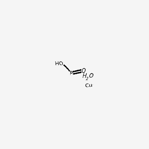 O.O=PO.[Cu]